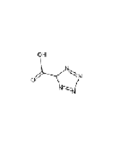 O=C(O)[C]1N=NN=N1